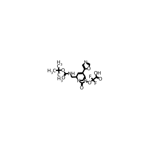 CC(C)(C)OC(=O)NCC1C=C(c2cnco2)C2CN1C(=O)N2OC(F)(F)C(=O)O